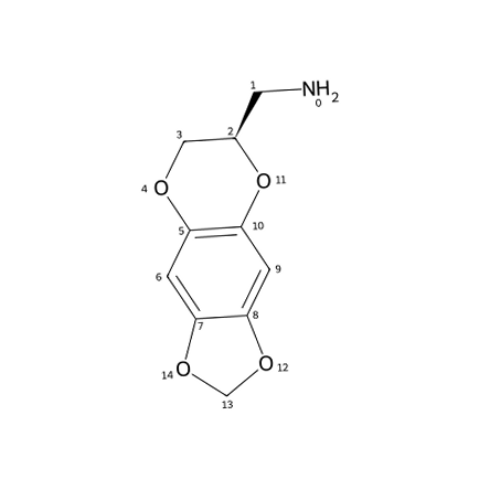 NC[C@@H]1COc2cc3c(cc2O1)OCO3